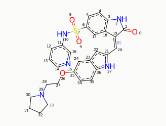 O=C1Nc2ccc(S(=O)(=O)Nc3cccnc3)cc2/C1=C\c1cc2cc(OCCN3CCCC3)ccc2[nH]1